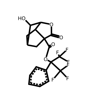 O=C1OC2C(O)C3CC2C1(C(=O)OC(c1ccccc1)(C(F)(F)F)C(F)(F)F)C3